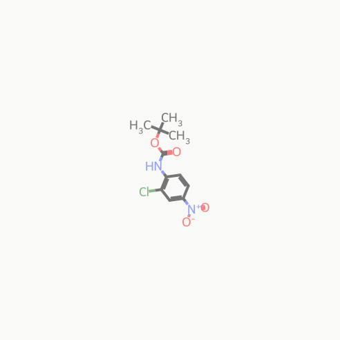 CC(C)(C)OC(=O)Nc1ccc([N+](=O)[O-])cc1Cl